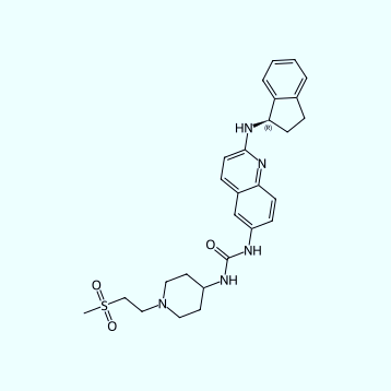 CS(=O)(=O)CCN1CCC(NC(=O)Nc2ccc3nc(N[C@@H]4CCc5ccccc54)ccc3c2)CC1